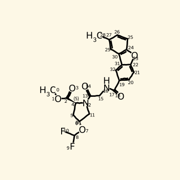 COC(=O)[C@@H]1C[C@@H](OC(F)F)CN1C(=O)CNC(=O)c1ccc2oc3ccc(C)cc3c2c1